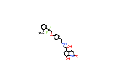 COc1ccccc1C(F)(F)COc1ccc(CCNCC(O)c2ccc(O)c3[nH]c(=O)ccc23)cc1